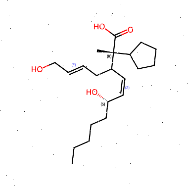 CCCCC[C@H](O)/C=C\C(C/C=C/CO)[C@](C)(C(=O)O)C1CCCC1